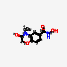 CCCCN1C(=O)COc2ccc(C(=O)NO)cc21